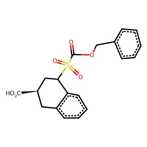 O=C(O)[C@@H]1Cc2ccccc2C(S(=O)(=O)C(=O)OCc2ccccc2)C1